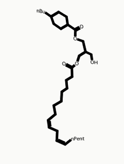 CCCCC/C=C\C/C=C\CCCCCCCC(=O)OCC(CO)COC(=O)C1CCC(CCCC)CC1